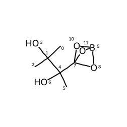 CC(C)(O)C(C)(O)C12OB(O1)O2